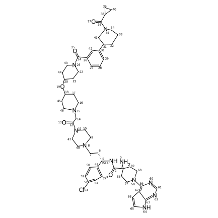 NC1(C(=O)N[C@@H](CCN2CCN(C(=O)CN3CCC(OC4CCN(C(=O)c5cccc(C6CCCN(C(=O)C7CC7)C6)c5)CC4)CC3)CC2)c2ccc(Cl)cc2)CCN(c2ncnc3[nH]ccc23)CC1